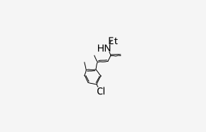 C=C(/C=C(\C)c1cc(Cl)ccc1C)NCC